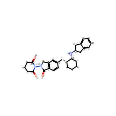 O=C1c2ccc(C[C@H]3CCCC[C@@H]3NC3Cc4ccccc4C3)cc2CN1N1C(=O)CCCC1=O